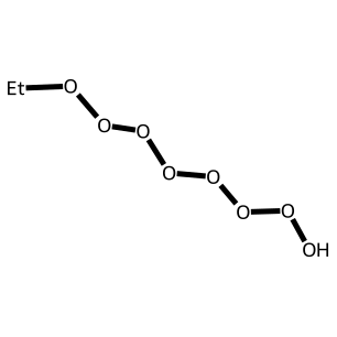 CCOOOOOOOO